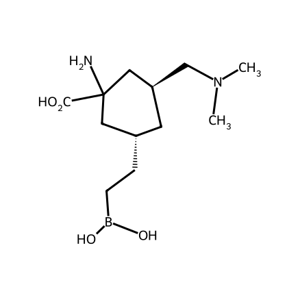 CN(C)C[C@H]1C[C@H](CCB(O)O)CC(N)(C(=O)O)C1